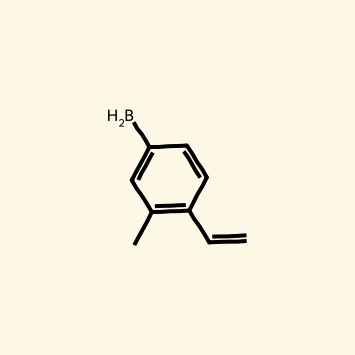 Bc1ccc(C=C)c(C)c1